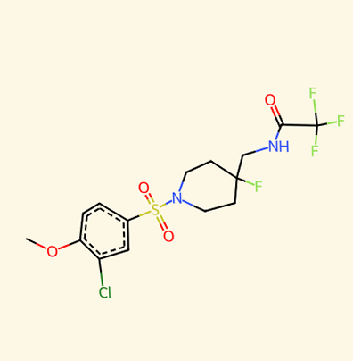 COc1ccc(S(=O)(=O)N2CCC(F)(CNC(=O)C(F)(F)F)CC2)cc1Cl